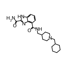 NC(=O)c1nc2c(C(=O)NCC3CCN(CC4CCCCC4)CC3)cccc2[nH]1